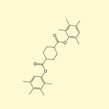 Cc1cc(OC(=O)C2CCC(C(=O)Oc3c(C)cc(C)c(C)c3C)CC2)c(C)c(C)c1C